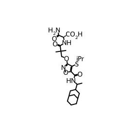 CC(C)Sc1c(OCC(C)(C)C(=O)N[C@@H](C(N)=O)C(=O)O)noc1C(=O)NC(C)C1CC2CCCC(C2)C1